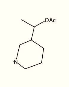 CC(=O)OC(C)C1CCC[N]C1